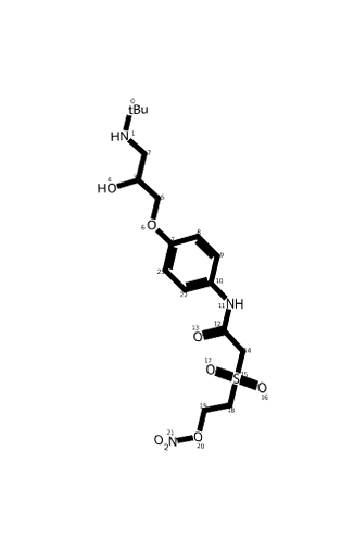 CC(C)(C)NCC(O)COc1ccc(NC(=O)CS(=O)(=O)CCO[N+](=O)[O-])cc1